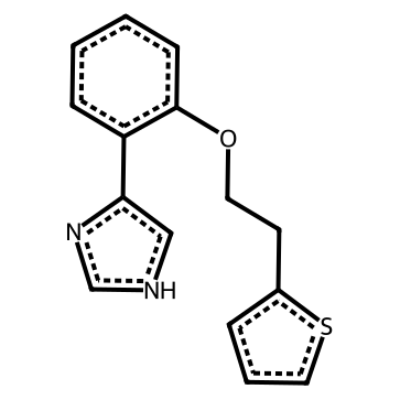 c1csc(CCOc2ccccc2-c2c[nH]cn2)c1